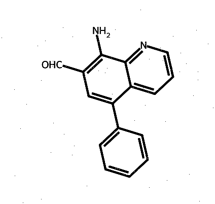 Nc1c(C=O)cc(-c2ccccc2)c2cccnc12